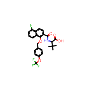 CC(C)(C)C(NC(=O)c1ccc2c(F)cccc2c1OCc1ccc(OC(F)(F)F)cc1)C(=O)O